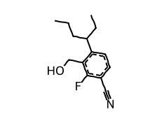 CCCC(CC)c1ccc(C#N)c(F)c1CO